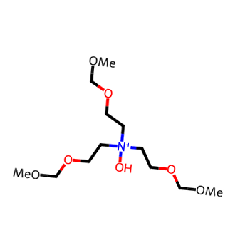 COCOCC[N+](O)(CCOCOC)CCOCOC